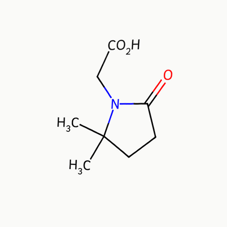 CC1(C)CCC(=O)N1CC(=O)O